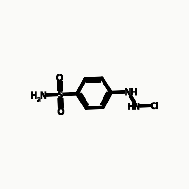 NS(=O)(=O)c1ccc(NNCl)cc1